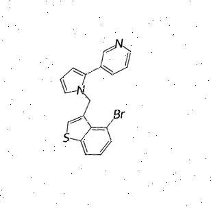 Brc1cccc2scc(Cn3cccc3-c3cccnc3)c12